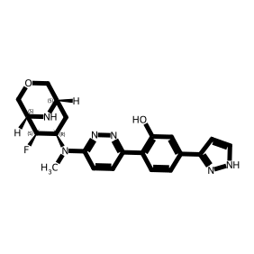 CN(c1ccc(-c2ccc(-c3cc[nH]n3)cc2O)nn1)[C@@H]1C[C@H]2COC[C@H](N2)[C@@H]1F